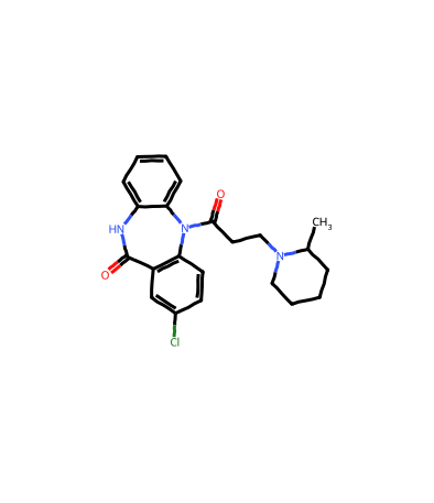 CC1CCCCN1CCC(=O)N1c2ccccc2NC(=O)c2cc(Cl)ccc21